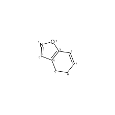 [c]1noc2c1CCC=C2